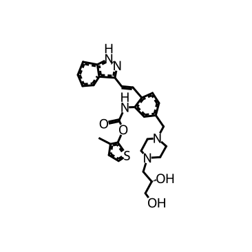 Cc1ccsc1OC(=O)Nc1cc(CN2CCN(C[C@H](O)CO)CC2)ccc1/C=C/c1n[nH]c2ccccc12